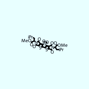 COC(=O)C(CC(C)C)N1C(=O)c2sc3c(c2C1=O)S(=O)(=O)c1c-3sc2c1C(=O)N(C(CC(C)C)C(=O)OC)C2=O